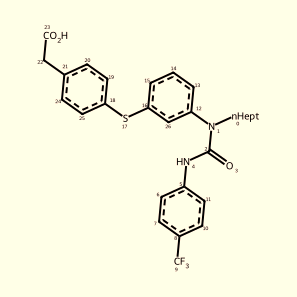 CCCCCCCN(C(=O)Nc1ccc(C(F)(F)F)cc1)c1cccc(Sc2ccc(CC(=O)O)cc2)c1